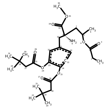 CCC(=O)OC(C)C[C@@](N)(Cc1ccc(OC(=O)CC(C)(C)C)c(OC(=O)CC(C)(C)C)c1)C(=O)OC